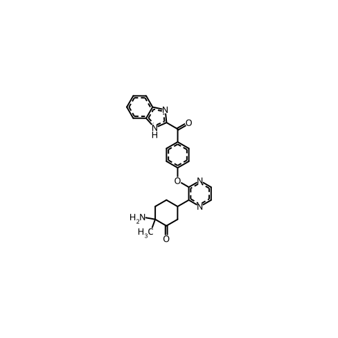 CC1(N)CCC(c2nccnc2Oc2ccc(C(=O)c3nc4ccccc4[nH]3)cc2)CC1=O